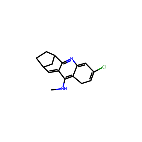 CNc1c2c(nc3c1=CC1CCC3C1)=CC(Cl)=CC2